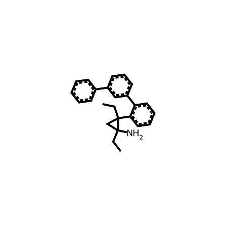 CCC1(N)CC1(CC)c1ccccc1-c1cccc(-c2ccccc2)c1